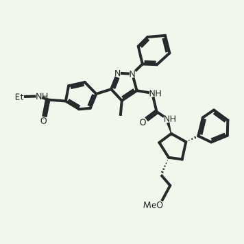 CCNC(=O)c1ccc(-c2nn(-c3ccccc3)c(NC(=O)N[C@@H]3C[C@@H](CCOC)C[C@H]3c3ccccc3)c2C)cc1